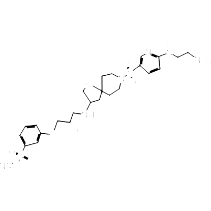 CNS(=O)(=O)c1cccc(OC[C@@H](O)CNC2COC3(CCN(S(=O)(=O)c4ccc(NCCN)nc4)CC3)C2)c1